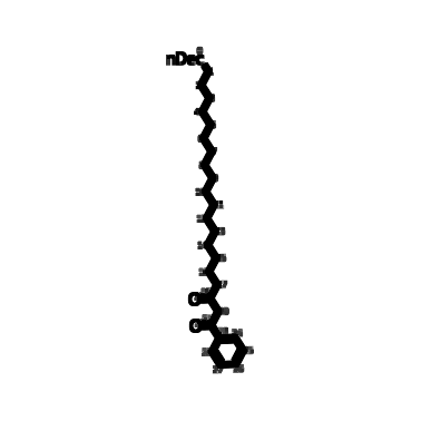 CCCCCCCCCCCCCCCCCCCCCCCCCCCC(=O)CC(=O)c1ccccc1